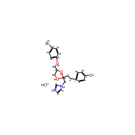 Cl.Clc1ccc(CCC2(Cn3ccnc3)OCC(COc3ccc(Br)cc3)O2)cc1